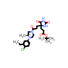 CCc1cc(N2CCN(C(=O)CCC3(CCC(=O)OC(C)(C)C)NC(=O)NC3=O)C[C@@H]2C)ccc1Cl